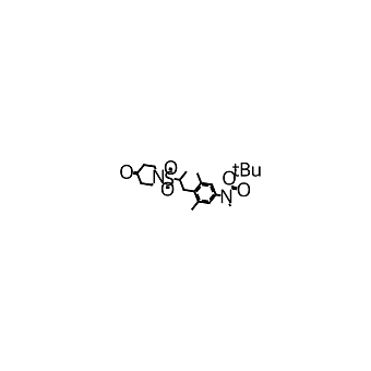 Cc1cc(N(C)C(=O)OC(C)(C)C)cc(C)c1CC(C)S(=O)(=O)N1CCC(=O)CC1